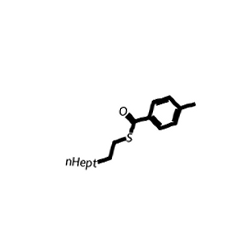 CCCCCCCCCSC(=O)c1ccc(C)cc1